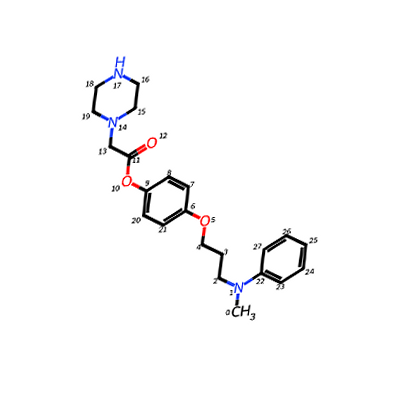 CN(CCCOc1ccc(OC(=O)CN2CCNCC2)cc1)c1ccccc1